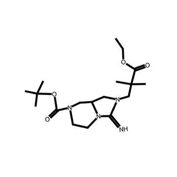 CCOC(=O)C(C)(C)CN1CC2CN(C(=O)OC(C)(C)C)CCN2C1=N